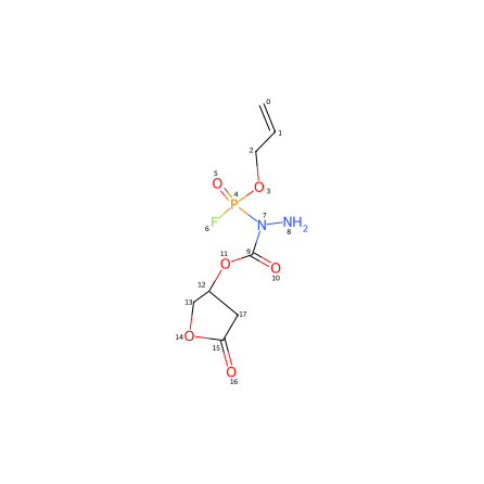 C=CCOP(=O)(F)N(N)C(=O)OC1COC(=O)C1